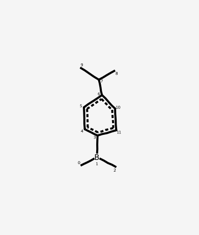 CB(C)c1ccc(C(C)C)cc1